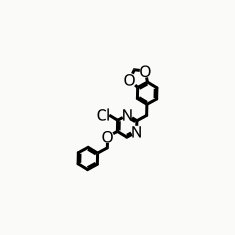 Clc1nc(Cc2ccc3c(c2)OCO3)ncc1OCc1ccccc1